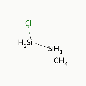 C.[SiH3][SiH2]Cl